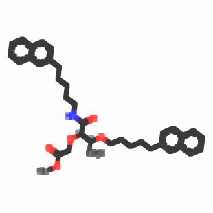 CC(C)(C)OC(=O)CO[C@@H](C(=O)NCCCCCc1ccc2ccccc2c1)[C@@H](OCCCCCc1ccc2ccccc2c1)C(=O)O